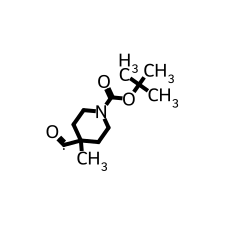 CC1([C]=O)CCN(C(=O)OC(C)(C)C)CC1